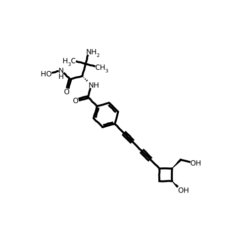 CC(C)(N)[C@H](NC(=O)c1ccc(C#CC#CC2C[C@H](O)[C@@H]2CO)cc1)C(=O)NO